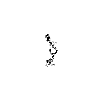 CC(C)C[C@@H](NC(=O)CNC(=O)c1cnccn1)B1OCCCCN(CCOC(=O)NC(P(C)O)P(=O)(O)O)CCCCO1